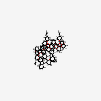 N#Cc1ccc(-n2c3ccccc3c3ccccc32)c(-c2cc(-c3cc(C#N)ccc3-n3c4ccccc4c4ccccc43)c(-n3c4ccccc4c4cc(-c5ccc6c(c5)c5ccccc5n6-c5ccc(C#N)cc5-c5nc(-c6cc(C#N)ccc6-n6c7ccccc7c7ccccc76)c(-n6c7ccccc7c7ccccc76)cc5-n5c6ccccc6c6ccccc65)ccc43)nc2-n2c3ccccc3c3ccccc32)c1